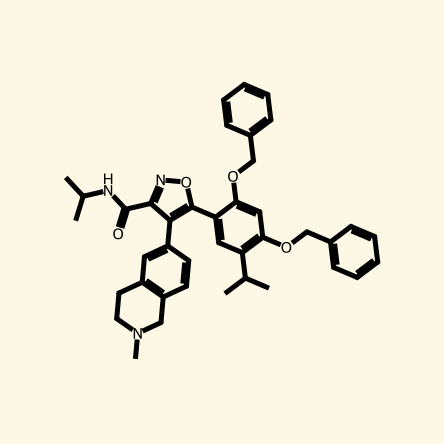 CC(C)NC(=O)c1noc(-c2cc(C(C)C)c(OCc3ccccc3)cc2OCc2ccccc2)c1-c1ccc2c(c1)CCN(C)C2